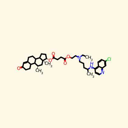 CCN(CCCC(C)Nc1ccnc2cc(Cl)ccc12)CCOC(=O)CCC(=O)O[C@H]1CCC2C3CCC4=CC(=O)CCC4C3[C@@H](C)C[C@@]21C